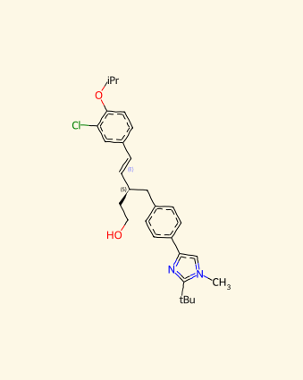 CC(C)Oc1ccc(/C=C/[C@H](CCO)Cc2ccc(-c3cn(C)c(C(C)(C)C)n3)cc2)cc1Cl